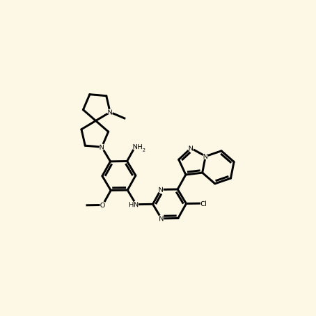 COc1cc(N2CCC3(CCCN3C)C2)c(N)cc1Nc1ncc(Cl)c(-c2cnn3ccccc23)n1